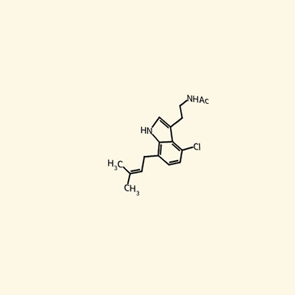 CC(=O)NCCc1c[nH]c2c(CC=C(C)C)ccc(Cl)c12